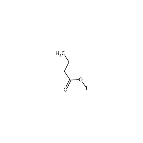 CCCC(=O)OI